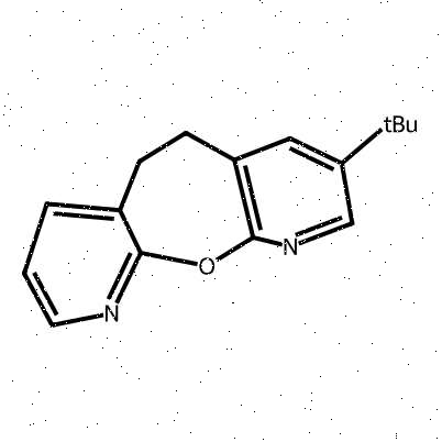 CC(C)(C)c1cnc2c(c1)CCc1cccnc1O2